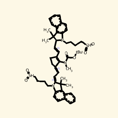 CN(C(=O)OC(C)(C)C)C1=C(/C=C/C2N(CCCC[SH](=O)=O)c3ccc4ccccc4c3C2(C)C)CC/C1=C\C=C1\N(CCCC[SH](=O)=O)c2ccc3ccccc3c2C1(C)C